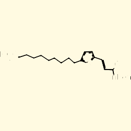 CCCCCC(O)/C=C/c1ccc(CCCCCCCCCC(=O)O)s1